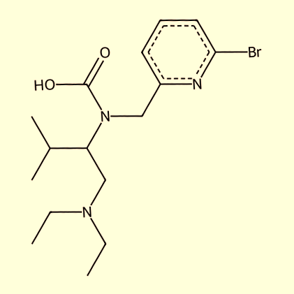 CCN(CC)CC(C(C)C)N(Cc1cccc(Br)n1)C(=O)O